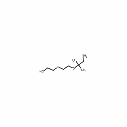 CC(C)(CN)OCCOCCO